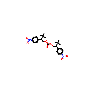 C[Si](C)(C)C(COC(=O)OCC(c1ccc([N+](=O)[O-])cc1)[Si](C)(C)C)c1ccc([N+](=O)[O-])cc1